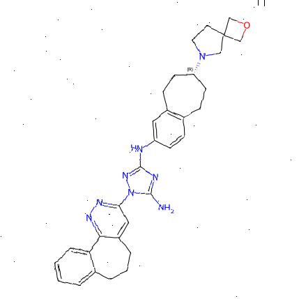 Nc1nc(Nc2ccc3c(c2)CC[C@H](N2CCC4(COC4)C2)CC3)nn1-c1cc2c(nn1)-c1ccccc1CCC2